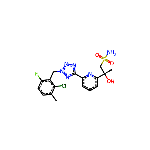 Cc1ccc(F)c(Cn2nnc(-c3cccc([C@@](C)(O)CS(N)(=O)=O)n3)n2)c1Cl